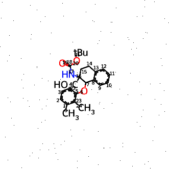 Cc1cccc(OC2c3ccccc3CCC2(NC(=O)OC(C)(C)C)C(=O)O)c1C